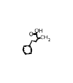 C=C(CCc1ccccc1)C(=O)O